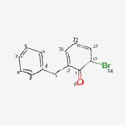 O=C1C(Cc2ccccc2)=CC=CC1Br